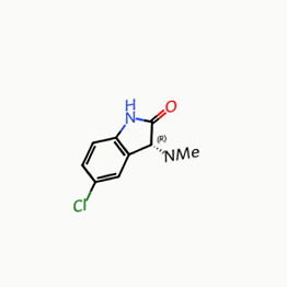 CN[C@H]1C(=O)Nc2ccc(Cl)cc21